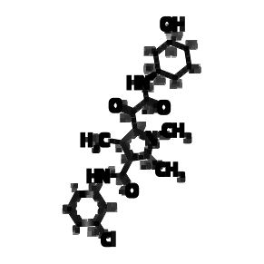 Cc1c(C(=O)Nc2cccc(Cl)c2)c(C)n(C)c1C(=O)C(=O)N[C@@H]1CCC[C@@H](O)C1